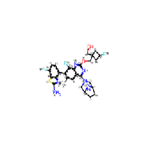 Nc1nc2c(-c3c(C(F)(F)F)cc4c(N5CC6CCC(C5)N6)nc(OCC5(CO)CC(F)C5)nc4c3F)ccc(F)c2s1